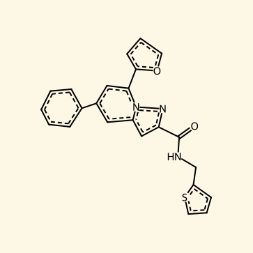 O=C(NCc1cccs1)c1cc2cc(-c3ccccc3)cc(-c3ccco3)n2n1